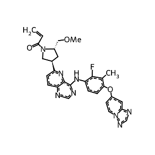 C=CC(=O)N1C[C@H](c2ccc3ncnc(Nc4ccc(Oc5ccn6ncnc6c5)c(C)c4F)c3n2)C[C@H]1COC